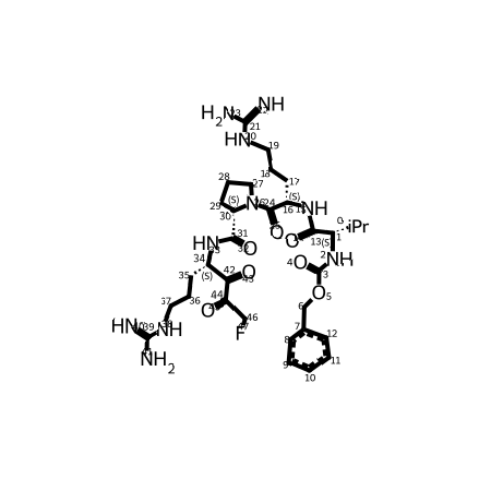 CC(C)[C@H](NC(=O)OCc1ccccc1)C(=O)N[C@@H](CCCNC(=N)N)C(=O)N1CCC[C@H]1C(=O)N[C@@H](CCCNC(=N)N)C(=O)C(=O)CF